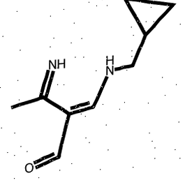 CC(=N)/C(C=O)=C\NCC1CC1